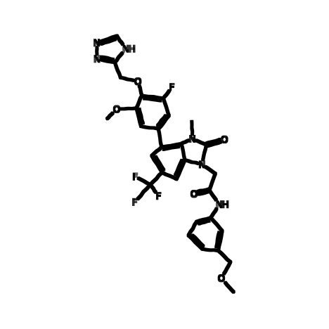 COCc1cccc(NC(=O)Cn2c(=O)n(C)c3c(-c4cc(F)c(OCc5nnc[nH]5)c(OC)c4)cc(C(F)(F)F)cc32)c1